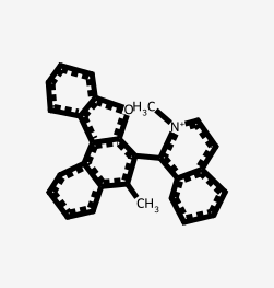 Cc1c(-c2c3ccccc3cc[n+]2C)c2oc3ccccc3c2c2ccccc12